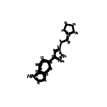 c1cc2cc(-c3cn(CCN4CCCC4)nn3)ccc2[nH]1